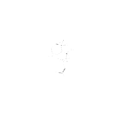 CO[C@@H]1[C@H](O)CC[C@]2(CO2)[C@H]1C1(C)O[C@@H]1CC=C(C)C